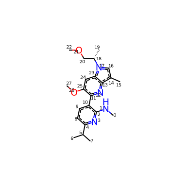 CNc1nc(C(C)C)ccc1-c1nc2c(C)cn([C@@H](C)COC)c2cc1OC